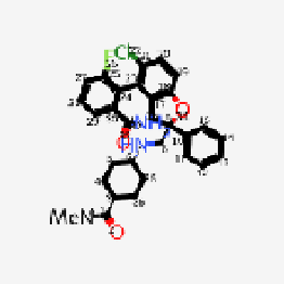 CNC(=O)[C@H]1CC[C@H](NC[C@@]2(c3ccccc3)Cc3c(ccc(Cl)c3-c3c(F)cccc3C(N)=O)O2)CC1